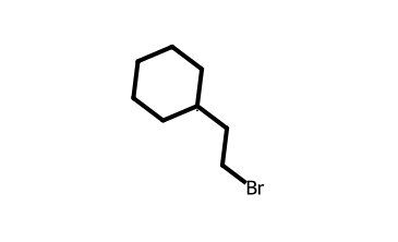 BrCC[C]1CCCCC1